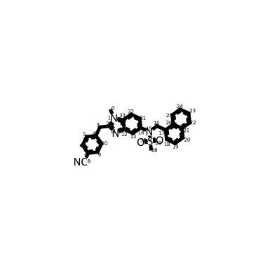 Cn1c(Cc2ccc(C#N)cc2)nc2cc(N(Cc3cccc4ccccc34)S(C)(=O)=O)ccc21